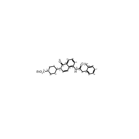 CCOC(=O)N1CCC(n2ccc3c(NC(=O)Cc4ccccc4Cl)cccc3c2=O)CC1